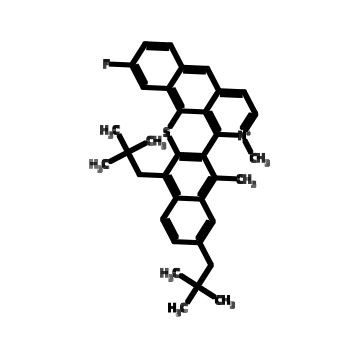 Cc1c2c(c(CC(C)(C)C)c3ccc(CC(C)(C)C)cc13)Sc1c3cc(F)ccc3cc3cc[n+](C)c-2c13